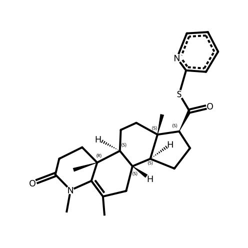 CC1=C2N(C)C(=O)CC[C@]2(C)[C@H]2CC[C@]3(C)[C@@H](C(=O)Sc4ccccn4)CC[C@H]3[C@@H]2C1